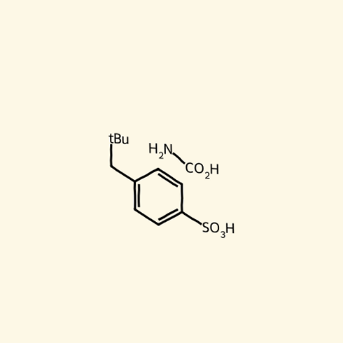 CC(C)(C)Cc1ccc(S(=O)(=O)O)cc1.NC(=O)O